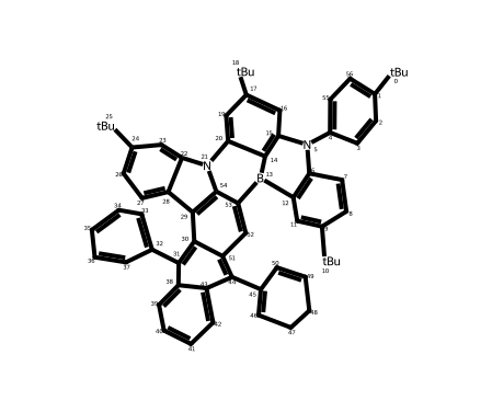 CC(C)(C)c1ccc(N2c3ccc(C(C)(C)C)cc3B3c4c2cc(C(C)(C)C)cc4-n2c4cc(C(C)(C)C)ccc4c4c5c(-c6ccccc6)c6ccccc6c(C6=CCCC=C6)c5cc3c42)cc1